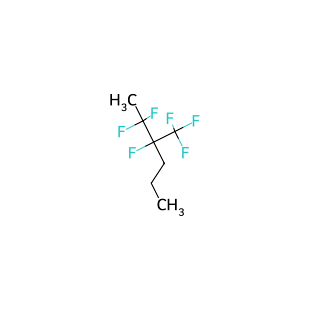 CCCC(F)(C(C)(F)F)C(F)(F)F